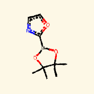 CC1(C)OB(c2ncco2)OC1(C)C